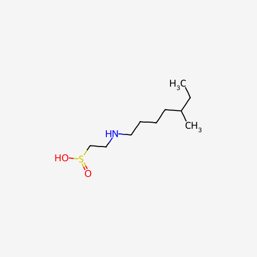 CCC(C)CCCCNCCS(=O)O